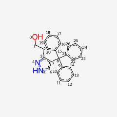 OCCc1n[nH]cc1C(c1ccccc1)(c1ccccc1)c1ccccc1